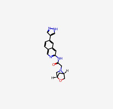 O=C(CN1C[C@@H]2C[C@H]1CO2)Nc1cc2cc(-c3cn[nH]c3)ccc2cn1